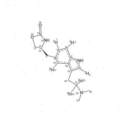 [2H]c1[nH]c2c([2H])c([2H])c(C[C@H]3COC(=O)N3)c([2H])c2c1CC([2H])([2H])N(C)C